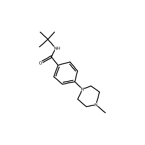 CN1CCN(c2ccc(C(=O)NC(C)(C)C)cc2)CC1